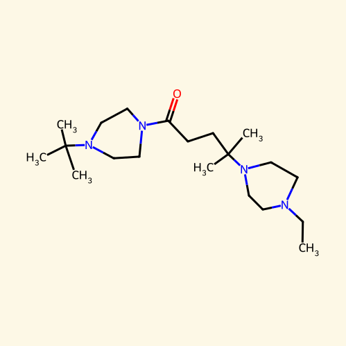 CCN1CCN(C(C)(C)CCC(=O)N2CCN(C(C)(C)C)CC2)CC1